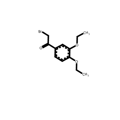 CCOc1ccc(C(=O)CBr)cc1OCC